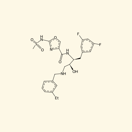 CCc1cccc(CNC[C@H](O)[C@H](Cc2cc(F)cc(F)c2)NC(=O)c2coc(NS(C)(=O)=O)n2)c1